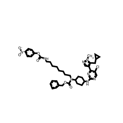 Cn1ncc(-c2nc(NC3CCC(N(CCCCCCCCNC(=O)Oc4ccc([N+](=O)[O-])cc4)C(=O)OCc4ccccc4)CC3)ncc2Cl)c1CC1CC1